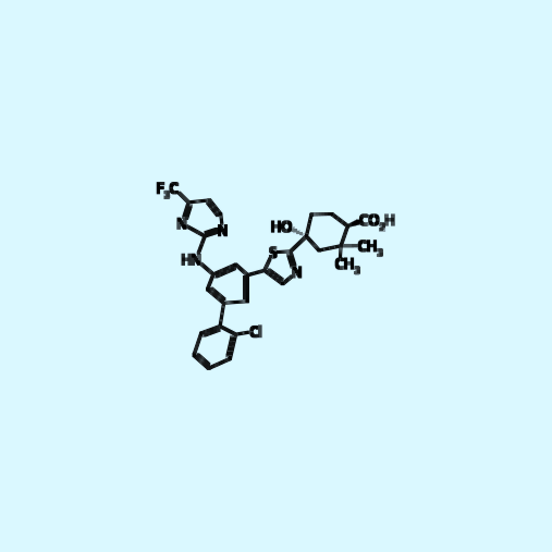 CC1(C)C[C@@](O)(c2ncc(-c3cc(Nc4nccc(C(F)(F)F)n4)cc(-c4ccccc4Cl)c3)s2)CC[C@H]1C(=O)O